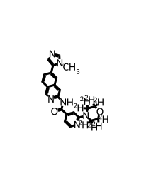 [2H]C1([2H])OC([2H])([2H])C([2H])([2H])N(c2cc(C(=O)Nc3cc4cc(-c5cncn5C)ccc4cn3)ccn2)C1([2H])[2H]